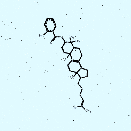 CC(C)=CCCCC1CCC2C3=C(CCC12C)C1(C)CCC(OC(=O)c2ccccc2O)C(C)(C)C1CC3